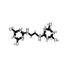 Clc1nc(Cl)nc(NCCNc2nc(Cl)nc(Cl)n2)n1